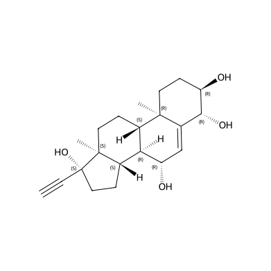 C#C[C@]1(O)CC[C@H]2[C@@H]3[C@@H](O)C=C4[C@@H](O)[C@H](O)CC[C@]4(C)[C@H]3CC[C@@]21C